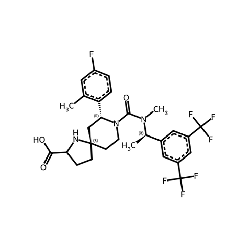 Cc1cc(F)ccc1[C@H]1C[C@]2(CCC(C(=O)O)N2)CCN1C(=O)N(C)[C@H](C)c1cc(C(F)(F)F)cc(C(F)(F)F)c1